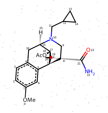 COc1ccc2c(c1)[C@]13CCN(CC4CC4)[C@H](C2)[C@]1(OC(C)=O)C[C@@H](C(N)=O)C3